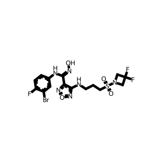 O=S(=O)(CCCNc1nonc1/C(=N/O)Nc1ccc(F)c(Br)c1)N1CC(F)(F)C1